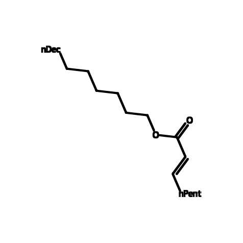 CCCCCC=CC(=O)OCCCCCCCCCCCCCCCC